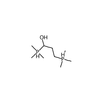 C[PH](C)(C)CCC(O)[PH](C)(C)C